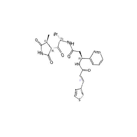 CC(C)[C@H](NC(=O)C[C@H](NC(=O)/C=C/c1ccsc1)c1ccccc1)C(=O)[C@@H]1C(=O)NC(=O)[C@H]1C